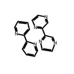 c1ccc(-c2ccccn2)nc1.c1cnc(-c2cnccn2)cn1